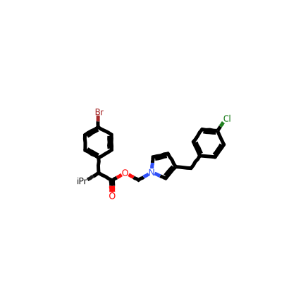 CC(C)C(C(=O)OCn1ccc(Cc2ccc(Cl)cc2)c1)c1ccc(Br)cc1